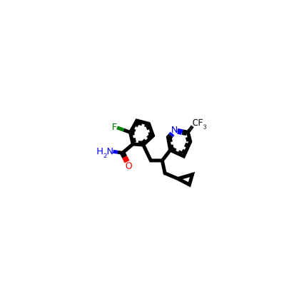 NC(=O)c1c(F)cccc1CC(CC1CC1)c1ccc(C(F)(F)F)nc1